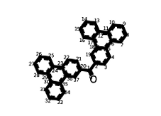 O=C(c1ccc2c3ccccc3c3ccccc3c2c1)c1ccc2c3ccccc3c3ccccc3c2c1